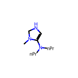 CCCN(CCC)C1=CNCN1C